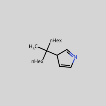 CCCCCCC(C)(CCCCCC)C1C=CN=C1